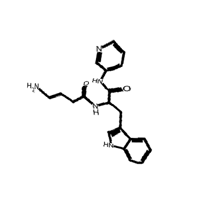 NCCCC(=O)NC(Cc1c[nH]c2ccccc12)C(=O)Nc1cccnc1